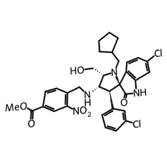 COC(=O)c1ccc(CN[C@@H]2[C@H](CO)N(CC3CCCC3)[C@@]3(C(=O)Nc4cc(Cl)ccc43)[C@H]2c2cccc(Cl)c2)c([N+](=O)[O-])c1